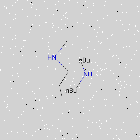 CCCCNCCCC.CCCNC